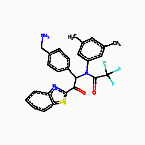 Cc1cc(C)cc(N(C(=O)C(F)(F)F)C(C(=O)c2nc3ccccc3s2)c2ccc(CN)cc2)c1